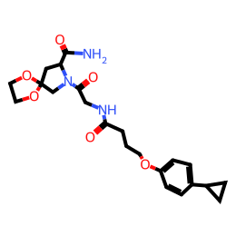 NC(=O)C1CC2(CN1C(=O)CNC(=O)CCCOc1ccc(C3CC3)cc1)OCCO2